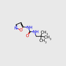 CC(C)(C)CNC(=O)Nc1ccno1